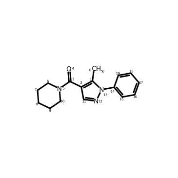 Cc1c(C(=O)N2CCCCC2)cnn1-c1ccccc1